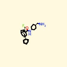 NC[C@H]1CC[C@H](NC(=O)C23CC4C[C@](c5ccccc5)(C2)C[C@@]3(CF)C4)CC1